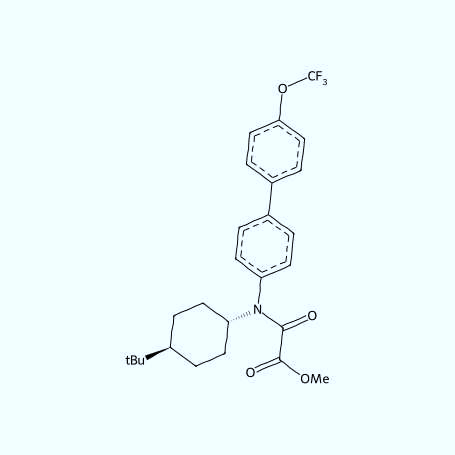 COC(=O)C(=O)N(c1ccc(-c2ccc(OC(F)(F)F)cc2)cc1)[C@H]1CC[C@H](C(C)(C)C)CC1